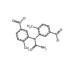 Cc1ccc([N+](=O)[O-])cc1N(C(N)=O)c1cc([N+](=O)[O-])ccc1C